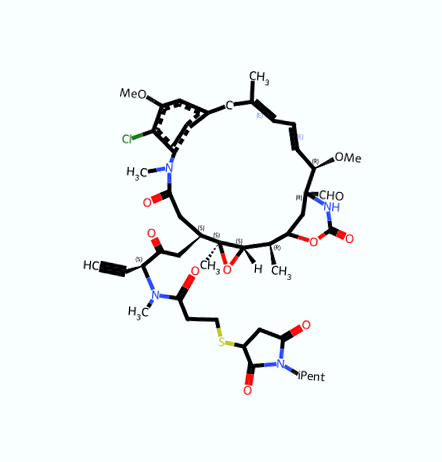 C#C[C@@H](C(=O)C[C@H]1CC(=O)N(C)c2cc(cc(OC)c2Cl)C/C(C)=C/C=C/[C@@H](OC)[C@@]2(C=O)CC(OC(=O)N2)[C@@H](C)[C@@H]2O[C@@]12C)N(C)C(=O)CCSC1CC(=O)N(C(C)CCC)C1=O